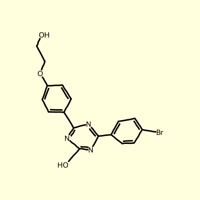 OCCOc1ccc(-c2nc(O)nc(-c3ccc(Br)cc3)n2)cc1